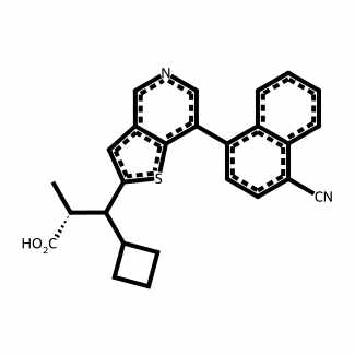 C[C@@H](C(=O)O)C(c1cc2cncc(-c3ccc(C#N)c4ccccc34)c2s1)C1CCC1